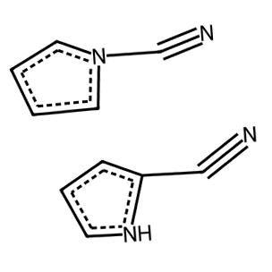 N#Cc1ccc[nH]1.N#Cn1cccc1